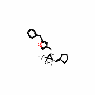 CC1(C)[C@H](C=C2CCCC2)[C@H]1Cc1coc(Cc2ccccc2)c1